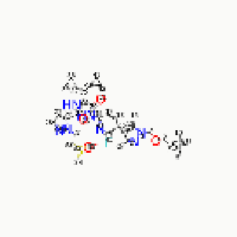 Cc1nn(COCC[Si](C)(C)C)c(C)c1-c1ccc(NC(=O)[C@@H](NC(=O)c2ccnn2CC[S+](C)[O-])C(C2CC2)C2CC2)nc1F